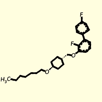 CCCCCCCO[C@H]1CC[C@H](COc2[c]ccc(-c3ccc(F)cc3)c2F)CC1